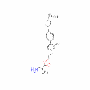 C=C(CN)C(=O)OCCCc1ccc(-c2ccc(C3CCC(CCCCC)CC3)cc2)c(CC)c1